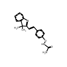 CC1(C)C(C=Cc2ccc(ONC(N)=O)cc2)=Nc2ccccc21